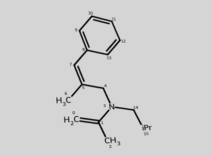 C=C(C)N(C/C(C)=C\c1ccccc1)CC(C)C